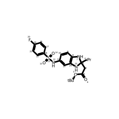 CC(C)C1(CC(=O)OC(C)(C)C)Nc2ccc(NS(=O)(=O)c3ccc(F)cc3)cc2N1